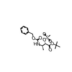 C[C@@H](NC(=O)OCc1ccccc1)[C@H](OS(C)(=O)=O)C(=O)OC(C)(C)C